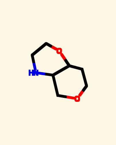 C1COC2CCOCC2N1